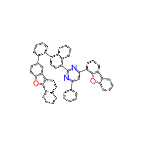 c1ccc(-c2cc(-c3cccc4c3oc3ccccc34)nc(-c3ccc(-c4ccccc4-c4ccc5oc6c7ccccc7ccc6c5c4)c4ccccc34)n2)cc1